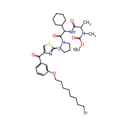 CC(C(=O)NC(C(=O)N1CCC[C@H]1c1nc(C(=O)c2cccc(OCCCCCCCCBr)c2)cs1)C1CCCCC1)N(C)C(=O)OC(C)(C)C